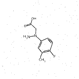 Cc1cc(N(N)CC(=O)O)ccc1F